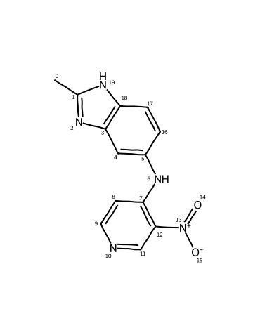 Cc1nc2cc(Nc3ccncc3[N+](=O)[O-])ccc2[nH]1